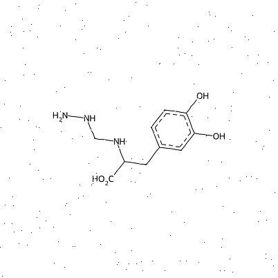 NNCNC(Cc1ccc(O)c(O)c1)C(=O)O